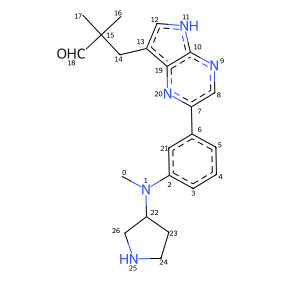 CN(c1cccc(-c2cnc3[nH]cc(CC(C)(C)C=O)c3n2)c1)C1CCNC1